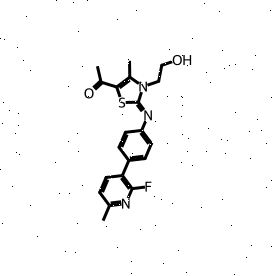 CC(=O)c1s/c(=N\c2ccc(-c3ccc(C)nc3F)cc2)n(CCO)c1C